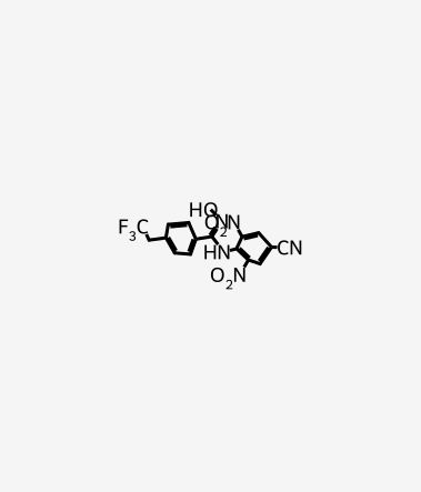 N#Cc1cc([N+](=O)[O-])c(NC(=NO)c2ccc(CC(F)(F)F)cc2)c([N+](=O)[O-])c1